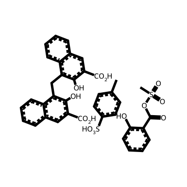 CS(=O)(=O)OC(=O)c1ccccc1O.Cc1ccc(S(=O)(=O)O)cc1.O=C(O)c1cc2ccccc2c(Cc2c(O)c(C(=O)O)cc3ccccc23)c1O